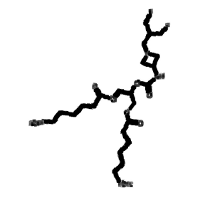 CCCCCCCCCCCCCCCC(=O)OCC(COC(=O)CCCCCCCCCCCCCCC)OC(=O)NC1CN(CC(CF)CF)C1